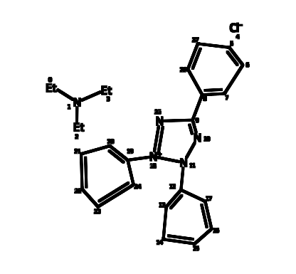 CCN(CC)CC.[Cl-].c1ccc(-c2nn(-c3ccccc3)[n+](-c3ccccc3)n2)cc1